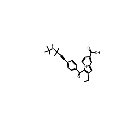 CCc1cc2cc(C(=O)O)ccn2c1C(=O)c1ccc(C#CC(C)(C)NC(C)(C)C)cc1